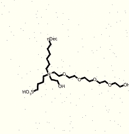 CCCCCCCCCCCCCCCC[N+](CCO)(CCCCS(=O)(=O)O)CCOCCOCCOCCOCCO